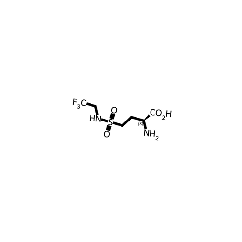 N[C@@H](CCS(=O)(=O)NCC(F)(F)F)C(=O)O